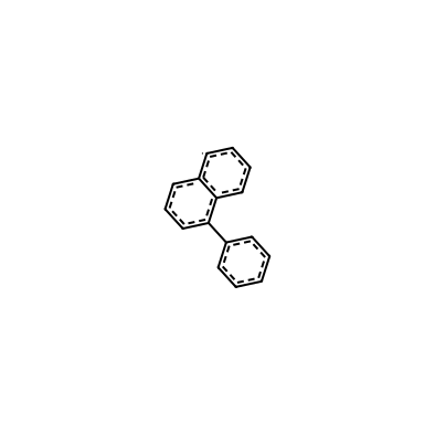 [c]1cccc2c(-c3ccccc3)cccc12